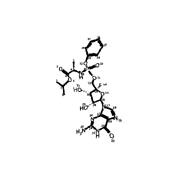 CC(C)OC(=O)[C@@H](C)NP(=O)(OC[C@@]1(F)OC(n2cnc3c(=O)[nH]c(N)nc32)[C@H](O)[C@@H]1O)Oc1ccccc1